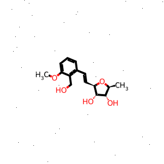 COc1cccc(/C=C/[C@H]2O[C@@H](C)[C@H](O)[C@@H]2O)c1CO